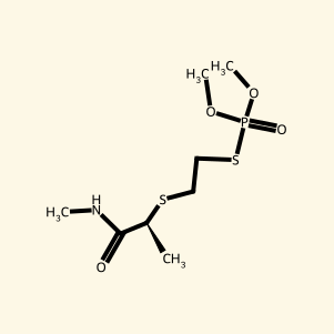 CNC(=O)[C@H](C)SCCSP(=O)(OC)OC